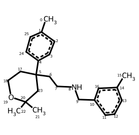 Cc1ccc(C2(CCNCc3cccc(C)c3)CCOC(C)(C)C2)cc1